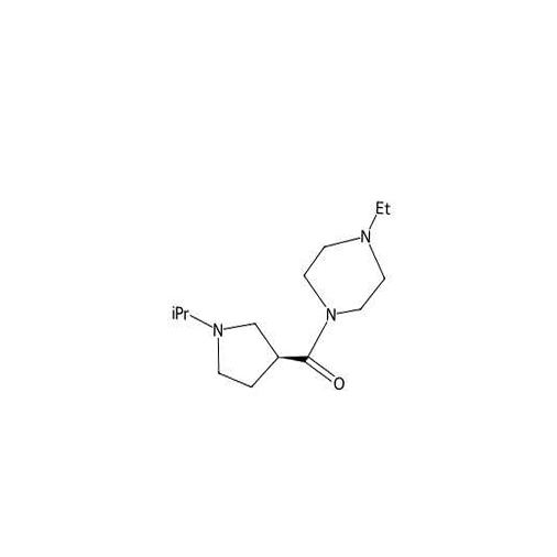 CCN1CCN(C(=O)[C@H]2CCN(C(C)C)C2)CC1